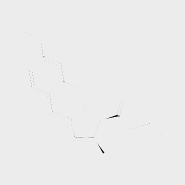 CCOC(=O)[C@@H]1CN(Cc2ccc(OC)cc2OC)C(=O)[C@@H]1C